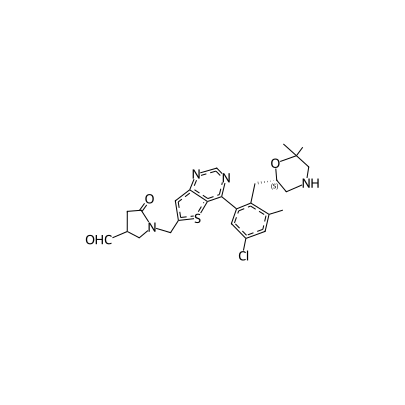 Cc1cc(Cl)cc(-c2ncnc3cc(CN4CC(C=O)CC4=O)sc23)c1C[C@H]1CNCC(C)(C)O1